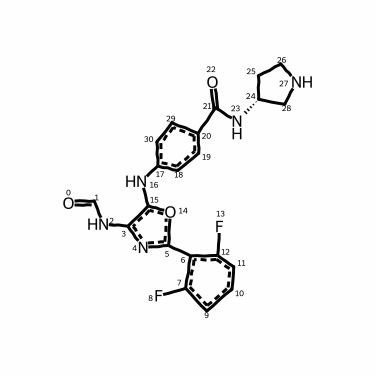 O=CNc1nc(-c2c(F)cccc2F)oc1Nc1ccc(C(=O)N[C@@H]2CCNC2)cc1